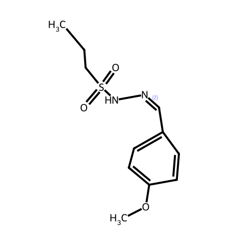 CCCS(=O)(=O)N/N=C\c1ccc(OC)cc1